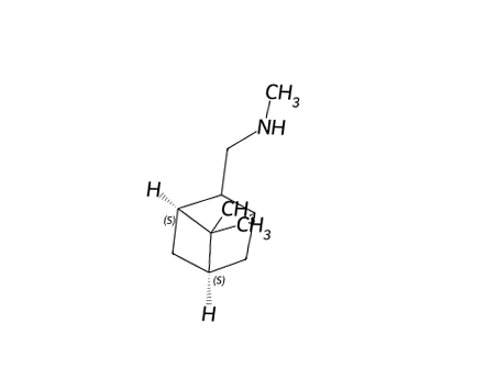 CNCC1CC[C@H]2C[C@@H]1C2(C)C